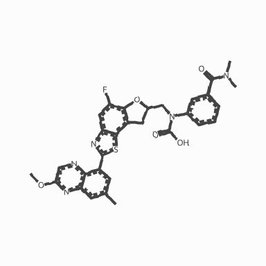 COc1cnc2c(-c3nc4cc(F)c5c(c4s3)CC(CN(C(=O)O)c3cccc(C(=O)N(C)C)c3)O5)cc(C)cc2n1